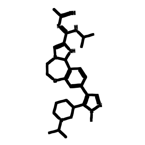 CC(=N)/N=C(\NC(C)C)C1=CN2CCOc3cc(-c4cnn(C)c4C4CCCN(C(C)C)C4)ccc3C2N1